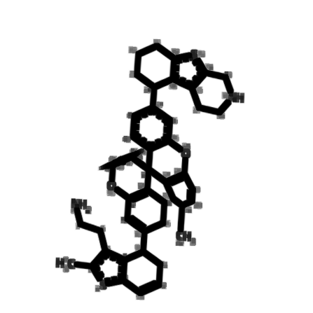 Cc1sc2c(c1CCN)C(C1=CC3=C(CC1)C1(C4=C(C=CC(C)C4)Oc4cc(C5CCCc6sc7c(c65)CCNC7)ccc41)C1CC=CCC1O3)CC=C2